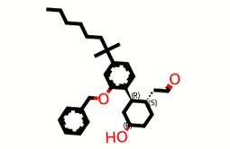 CCCCCCC(C)(C)c1ccc([C@@H]2C[C@H](O)CC[C@H]2CC=O)c(OCc2ccccc2)c1